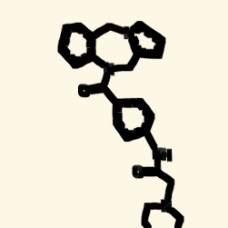 O=C(CN1CCOCC1)Nc1ccc(C(=O)N2Cc3cccn3Cc3ccccc32)cc1